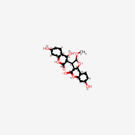 COC1Oc2c(c(=O)oc3cc(O)ccc23)C1c1c(O)c2ccc(O)cc2oc1=O